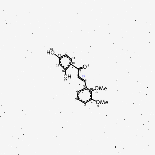 COc1cccc(/C=C/C(=O)c2ccc(O)cc2O)c1OC